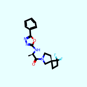 C[C@@H](Nc1nnc(-c2ccccc2)o1)C(=O)N1CC[C@@]2(CCC2(F)F)C1